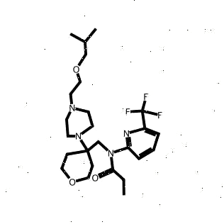 CCC(=O)N(CC1(N2CCN(CCOCC(C)C)CC2)CCOCC1)c1cccc(C(F)(F)F)n1